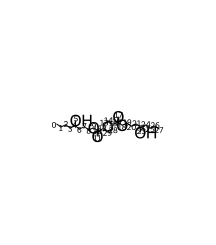 CCCCC(O)CCCOC(=O)c1ccc(C(=O)OCCCC(O)CCCC)cc1